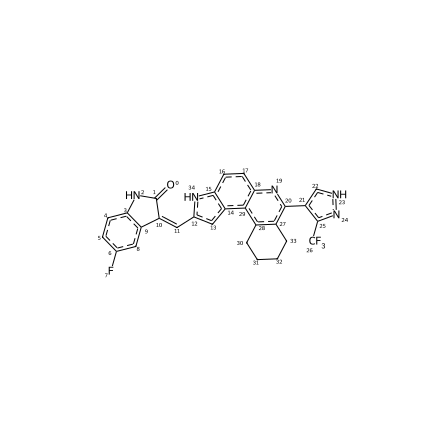 O=C1Nc2ccc(F)cc2/C1=C/c1cc2c(ccc3nc(-c4c[nH]nc4C(F)(F)F)c4c(c32)CCCC4)[nH]1